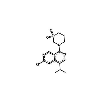 CC(C)c1cnc(N2CCCS(=O)(=O)C2)c2cnc(Cl)cc12